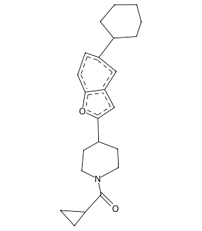 O=C(C1CC1)N1CCC(c2cc3cc(C4CCCCC4)ccc3o2)CC1